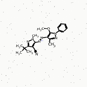 COc1c(/N=N/c2c(C#N)c(C(C)(C)C)nn2C)c(C)nn1-c1ccccc1